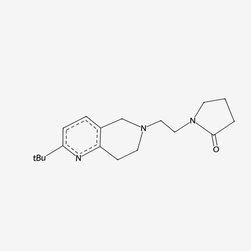 CC(C)(C)c1ccc2c(n1)CCN(CCN1CCCC1=O)C2